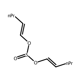 CCCC=COS(=O)OC=CCCC